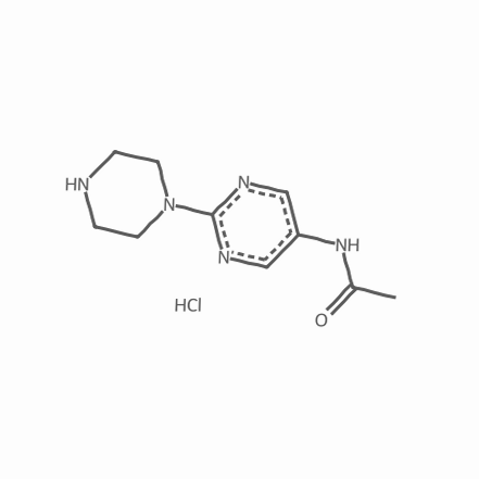 CC(=O)Nc1cnc(N2CCNCC2)nc1.Cl